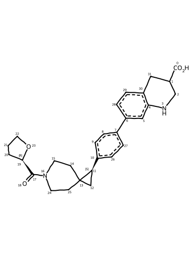 O=C(O)C1CNc2cc(-c3ccc([C@H]4CC45CCN(C(=O)[C@H]4CCCO4)CC5)cc3)ccc2C1